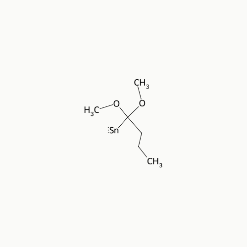 CCC[C]([Sn])(OC)OC